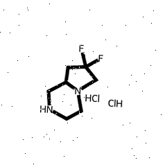 Cl.Cl.FC1(F)CC2CNCCN2C1